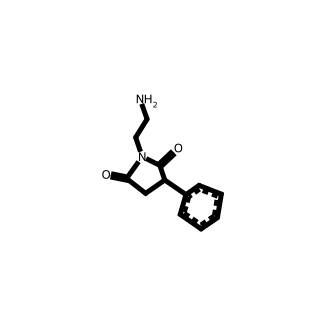 NCCN1C(=O)CC(c2ccccc2)C1=O